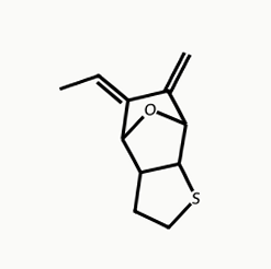 C=C1/C(=C/C)C2OC1C1SCCC21